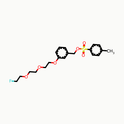 Cc1ccc(S(=O)(=O)OCc2cccc(OCCOCCOCCF)c2)cc1